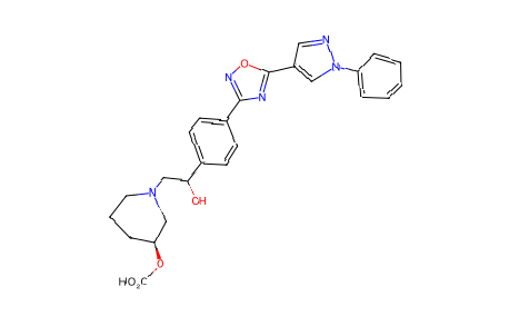 O=C(O)O[C@H]1CCCN(CC(O)c2ccc(-c3noc(-c4cnn(-c5ccccc5)c4)n3)cc2)C1